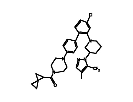 Cc1cnn(C2CCCN(c3cc(Cl)ccc3-c3ccc(N4CCN(C(=O)C5CC56CC6)CC4)cc3)C2)c1C(F)(F)F